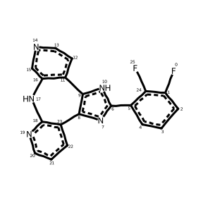 Fc1cccc(-c2nc3c([nH]2)-c2ccncc2Nc2ncccc2-3)c1F